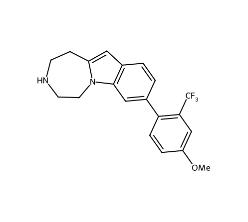 COc1ccc(-c2ccc3cc4n(c3c2)CCNCC4)c(C(F)(F)F)c1